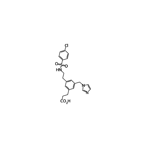 O=C(O)CCc1cc(CCNS(=O)(=O)c2ccc(Cl)cc2)cc(Cn2ccnc2)c1